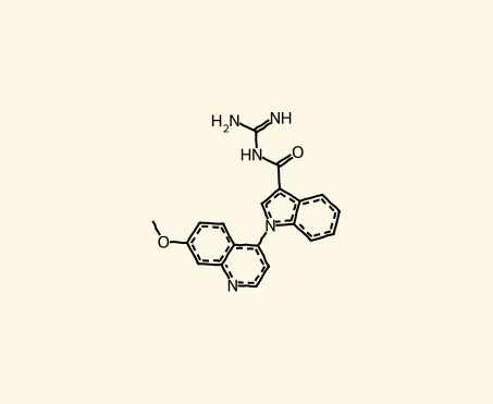 COc1ccc2c(-n3cc(C(=O)NC(=N)N)c4ccccc43)ccnc2c1